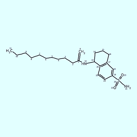 C=C(CCCCCCCCCC)NC1CCCc2cc(S(N)(=O)=O)ccc21